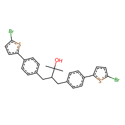 CC(C)(O)C(Cc1ccc(-c2ccc(Br)s2)cc1)Cc1ccc(-c2ccc(Br)s2)cc1